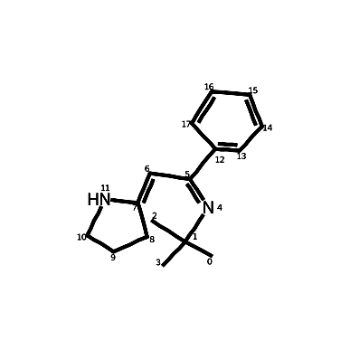 CC(C)(C)N=C(C=C1CCCN1)c1ccccc1